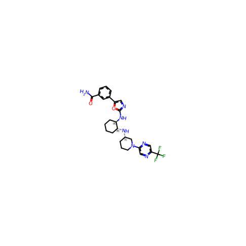 NC(=O)c1cccc(-c2cnc(N[C@@H]3CCCC[C@H]3N[C@H]3CCCN(c4cnc(C(F)(F)F)cn4)C3)o2)c1